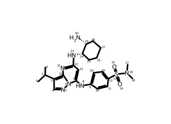 CC(C)c1cnn2c(Nc3ccc(S(=O)(=O)N(C)C)cc3)cc(N[C@H]3CCCC[C@H]3N)nc12